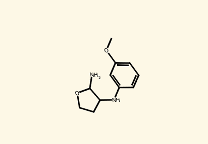 COc1cccc(NC2CCO[C]2N)c1